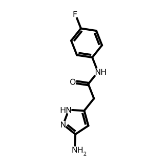 Nc1cc(CC(=O)Nc2ccc(F)cc2)[nH]n1